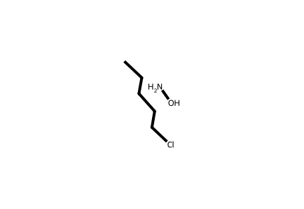 CCCCCCl.NO